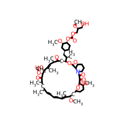 COC(CO)COC(=O)O[C@@H]1CC[C@@H](C[C@@H](C)[C@@H]2CC(=O)[C@H](C)/C=C(\C)[C@@H](O)[C@@H](OC)C(=O)[C@H](C)C[C@H](C)/C=C/C=C/C=C(\C)[C@@H](OC)CC3CC[C@@H](C)[C@@](O)(O3)C(=O)C(=O)N3CCCCC3C(=O)O2)C[C@H]1OC